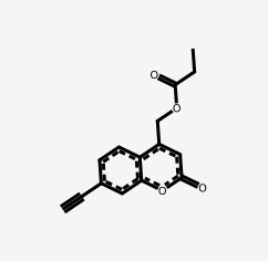 C#Cc1ccc2c(COC(=O)CC)cc(=O)oc2c1